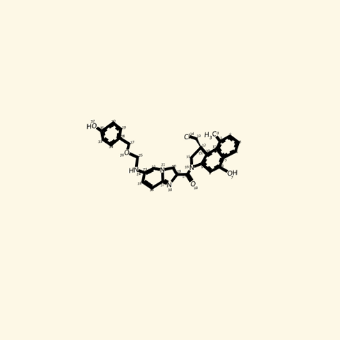 Cc1cccc2c(O)cc3c(c12)[C@H](CCl)CN3C(=O)C1CN2C=C(NCOCc3ccc(O)cc3)C=CC2=N1